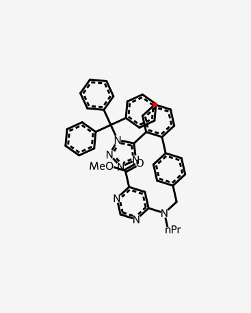 CCCN(Cc1ccc(-c2ccccc2-c2nnnn2C(c2ccccc2)(c2ccccc2)c2ccccc2)cc1)c1cc(C(=O)OC)ncn1